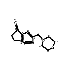 O=C1CCc2ccc(CN3CCSCC3)cc21